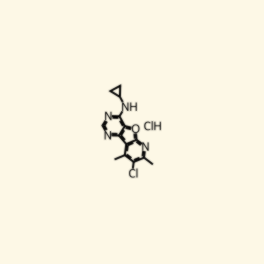 Cc1nc2oc3c(NC4CC4)ncnc3c2c(C)c1Cl.Cl